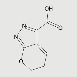 O=C(O)C1=NN=C2OCCC=C21